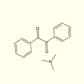 CN(C)C.O=C(C(=O)c1ccccc1)c1ccccc1